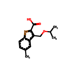 Cc1ccc2sc(C(=O)O)c(COC(C)C)c2c1